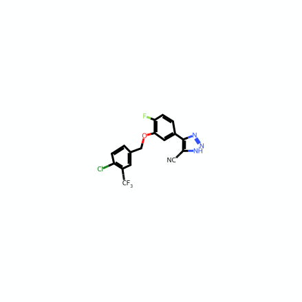 N#Cc1[nH]nnc1-c1ccc(F)c(OCc2ccc(Cl)c(C(F)(F)F)c2)c1